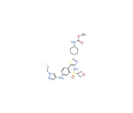 CC(C)OC(=O)N[C@H]1CC[C@H](c2ncc(-c3ccc(Nc4cnn(CCF)c4)cc3S(=N)(=O)C3COC3)s2)CC1